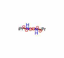 CC(C)C(=O)CCC(=O)NCCOCCOCCNC(=O)CCC(=O)C(C)C